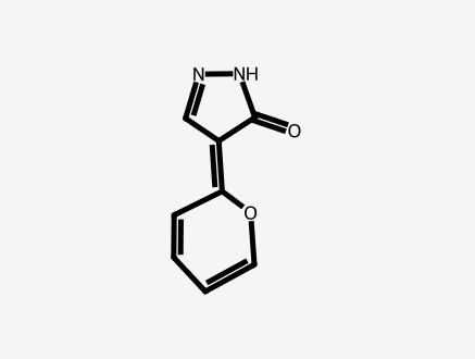 O=C1NN=CC1=C1C=CC=CO1